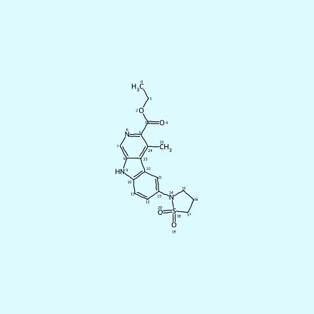 CCOC(=O)c1ncc2[nH]c3ccc(N4CCCS4(=O)=O)cc3c2c1C